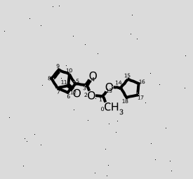 CC(OC(=O)C1CC2C=CC1C2=O)OC1CCCC1